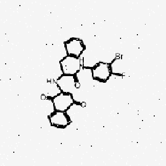 O=C1C=C(NC(Cc2ccccc2)C(=O)Nc2ccc(F)c(Br)c2)C(=O)c2ccccc21